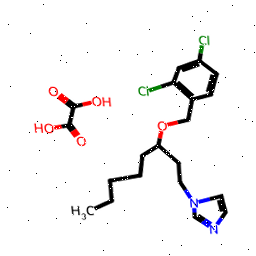 CCCCCC(CCn1ccnc1)OCc1ccc(Cl)cc1Cl.O=C(O)C(=O)O